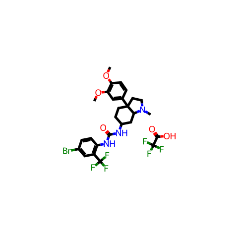 COc1ccc(C23CCC(NC(=O)Nc4ccc(Br)cc4C(F)(F)F)CC2N(C)CC3)cc1OC.O=C(O)C(F)(F)F